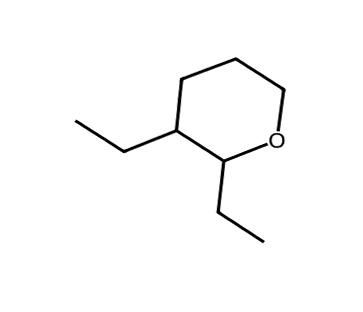 CCC1CCCOC1CC